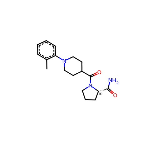 Cc1ccccc1N1CCC(C(=O)N2CCC[C@H]2C(N)=O)CC1